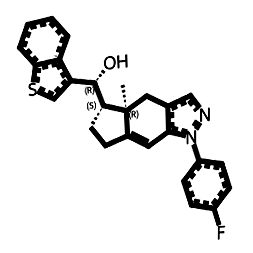 C[C@]12Cc3cnn(-c4ccc(F)cc4)c3C=C1CC[C@@H]2[C@@H](O)c1csc2ccccc12